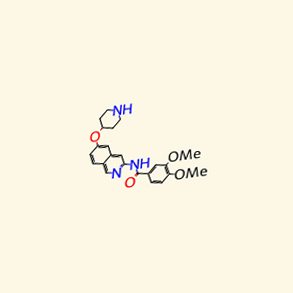 COc1ccc(C(=O)Nc2cc3cc(OC4CCNCC4)ccc3cn2)cc1OC